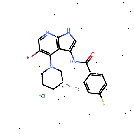 Cl.N[C@@H]1CCCN(c2c(Br)cnc3[nH]cc(NC(=O)c4ccc(F)cc4)c23)C1